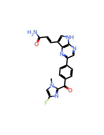 Cn1cc(F)nc1C(=O)c1ccc(-c2cnc3[nH]cc(C=CC(N)=O)c3n2)cc1